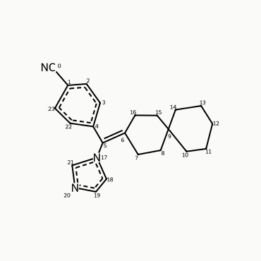 N#Cc1ccc(C(=C2CCC3(CCCCC3)CC2)n2ccnc2)cc1